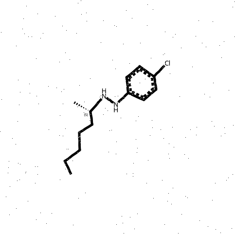 CCCCC[C@H](C)NNc1ccc(Cl)cc1